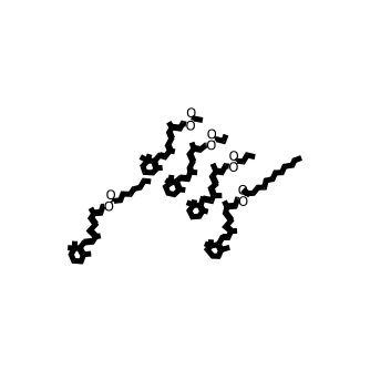 CC(=O)OCC=C(C)C=CC=C(C)C=CC1=C(C)CCCC1(C)C.CCC(=O)OCC=C(C)C=CC=C(C)C=CC1=C(C)CCCC1(C)C.CCCC(=O)OCC=C(C)C=CC=C(C)C=CC1=C(C)CCCC1(C)C.CCCCCCCC(=O)OCC=C(C)C=CC=C(C)C=CC1=C(C)CCCC1(C)C.CCCCCCCCCCCC(=O)OCC=C(C)C=CC=C(C)C=CC1=C(C)CCCC1(C)C